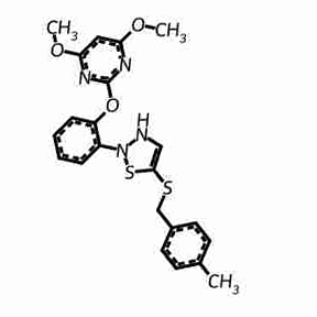 COc1cc(OC)nc(Oc2ccccc2N2NC=C(SCc3ccc(C)cc3)S2)n1